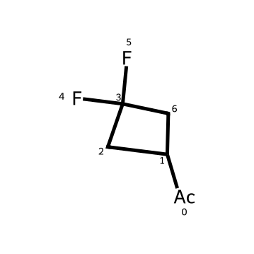 CC(=O)C1CC(F)(F)C1